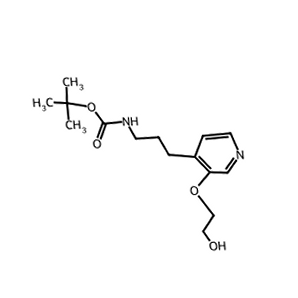 CC(C)(C)OC(=O)NCCCc1ccncc1OCCO